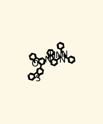 c1ccc(C2=NC(c3ccccc3)NC(c3cccc4c3c3ccccc3n4-c3cc(-c4ccc5sc6ccccc6c5c4)c4oc5ccccc5c4c3)=N2)cc1